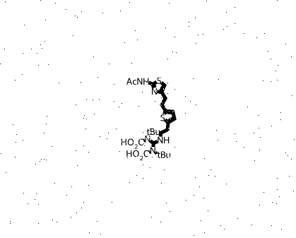 CC(=O)Nc1nc(CCc2ccc(CCNC(N(C(=O)O)C(C)(C)C)N(C(=O)O)C(C)(C)C)s2)cs1